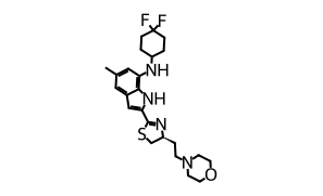 Cc1cc(NC2CCC(F)(F)CC2)c2[nH]c(C3=N[C@@H](CCN4CCOCC4)CS3)cc2c1